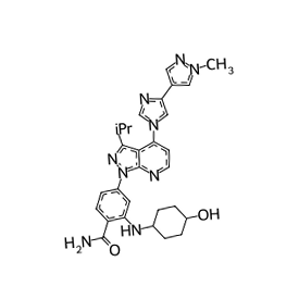 CC(C)c1nn(-c2ccc(C(N)=O)c(NC3CCC(O)CC3)c2)c2nccc(-n3cnc(-c4cnn(C)c4)c3)c12